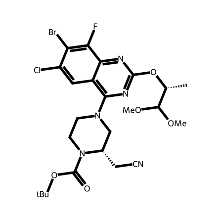 COC(OC)[C@@H](C)Oc1nc(N2CCN(C(=O)OC(C)(C)C)[C@@H](CC#N)C2)c2cc(Cl)c(Br)c(F)c2n1